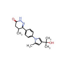 Cc1cc(C(C)(C)O)cn1-c1ccc(C2=NNC(=O)CC2C)cc1